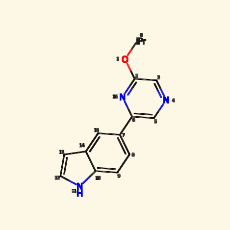 CC(C)Oc1cncc(-c2ccc3[nH]ccc3c2)n1